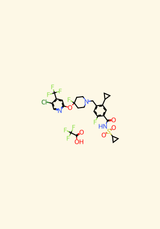 O=C(NS(=O)(=O)C1CC1)c1cc(C2CC2)c(CN2CCC(F)(Oc3cc(C(F)(F)F)c(Cl)cn3)CC2)cc1F.O=C(O)C(F)(F)F